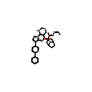 C/C=N\N=C(/C)C(=O)N1C2CCC1CC(C)(c1nc3c(-c4ccc(-c5ccccc5)nc4)cnn3c3c1COCN3)C2